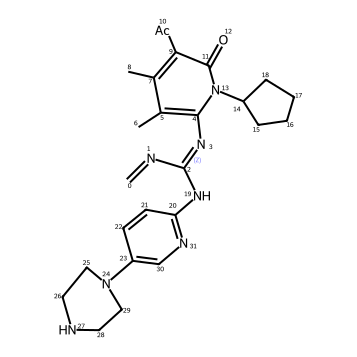 C=N/C(=N\c1c(C)c(C)c(C(C)=O)c(=O)n1C1CCCC1)Nc1ccc(N2CCNCC2)cn1